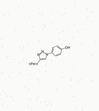 CCCCCc1cn(-c2ccc(O)cc2)nn1